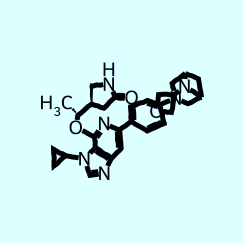 C[C@@H](Oc1nc(-c2ccc(N3CC4CC(C3)N4C3COC3)cc2)cc2ncn(C3CC3)c12)[C@H]1CNC(=O)C1